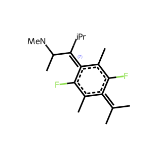 CNC(C)/C(=c1/c(C)c(F)c(=C(C)C)c(C)c1F)C(C)C